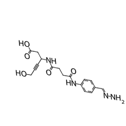 NN=Cc1ccc(NC(=O)CCC(=O)NC(C#CCO)CC(=O)O)cc1